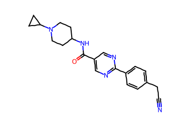 N#CCc1ccc(-c2ncc(C(=O)NC3CCN(C4CC4)CC3)cn2)cc1